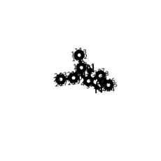 N#Cc1ccc(-n2c3ccc(-c4ccccc4)cc3c3cc(-c4ccccc4)ccc32)c(C#N)c1-c1cccc2c1oc1ccccc12